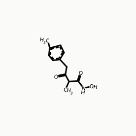 Cc1ccc(CC(=O)C(C)C(=O)NO)cc1